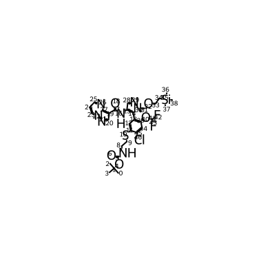 CC(C)(C)OC(=O)NCCSc1cc(-c2c(NC(=O)c3cnn4cccnc34)cnn2COCC[Si](C)(C)C)c(OC(F)F)cc1Cl